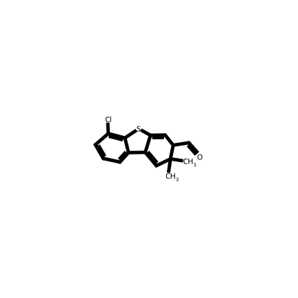 CC1(C)C=c2c(sc3c(Cl)cccc23)=CC1C=O